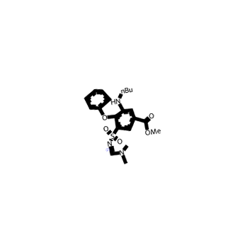 CCCCNc1cc(C(=O)OC)cc(S(=O)(=O)/N=C\N(C)C)c1Oc1ccccc1